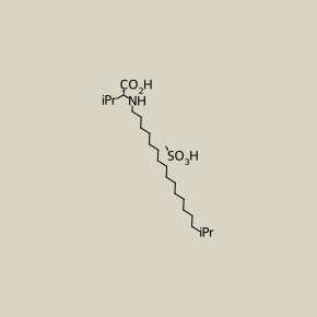 CC(C)CCCCCCCCCCCCCCCN[C@H](C(=O)O)C(C)C.CS(=O)(=O)O